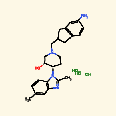 Cc1ccc2c(c1)nc(C)n2[C@@H]1CCN(CC2Cc3ccc(N)cc3C2)C[C@H]1O.Cl.Cl.Cl